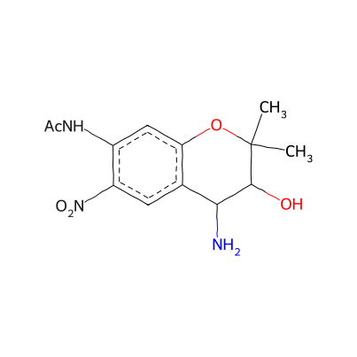 CC(=O)Nc1cc2c(cc1[N+](=O)[O-])C(N)C(O)C(C)(C)O2